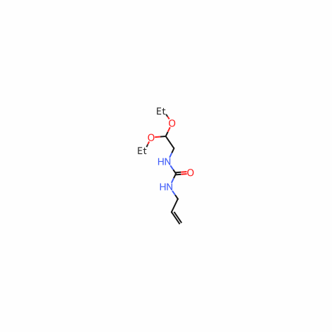 C=CCNC(=O)NCC(OCC)OCC